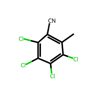 Cc1c(Cl)c(Cl)c(Cl)c(Cl)c1C#N